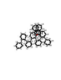 c1ccc(-c2ccccc2-c2ccccc2-c2ccc3c([nH]c4ccccc43)c2-c2ccccc2-c2c(-c3ccccc3)ccc3c2[nH]c2ccccc23)cc1